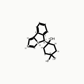 OC1([C@@H]2c3ccccc3-c3cncn32)CCC(F)(F)CC1